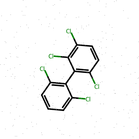 Clc1ccc(Cl)c(-c2c(Cl)cccc2Cl)c1Cl